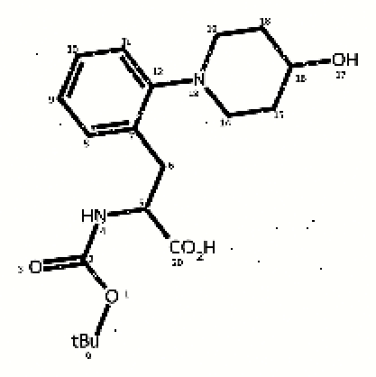 CC(C)(C)OC(=O)NC(Cc1ccccc1N1CCC(O)CC1)C(=O)O